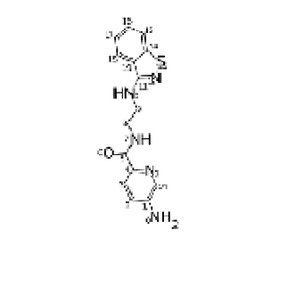 Nc1ccc(C(=O)NCCNc2nsc3ccccc23)nc1